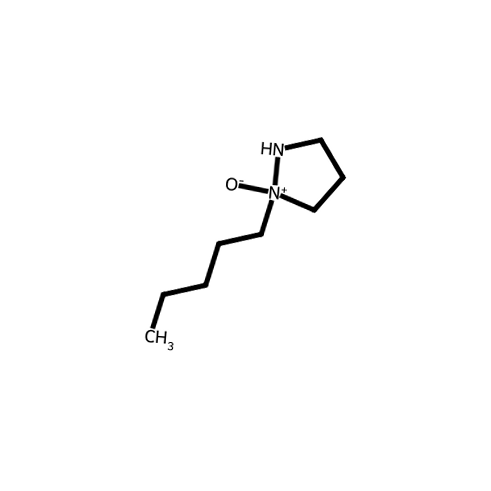 CCCCC[N+]1([O-])CCCN1